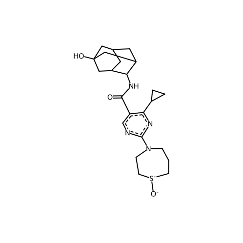 O=C(NC1C2CC3CC1CC(O)(C3)C2)c1cnc(N2CCC[S+]([O-])CC2)nc1C1CC1